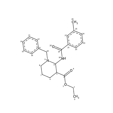 CCOC(=O)C1CCCN(Cc2ccccc2)C1NC(=O)c1cccc(C)c1